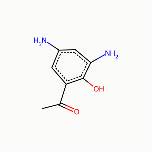 CC(=O)c1cc(N)cc(N)c1O